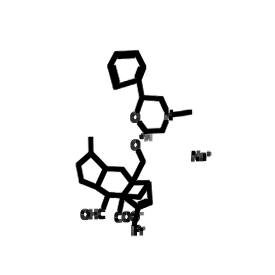 CC(C)C1=CC2CC3(C=O)C4CCC(C)C4CC2(CO[C@H]2CN(C)CC(c4ccccc4)O2)C13C(=O)[O-].[Na+]